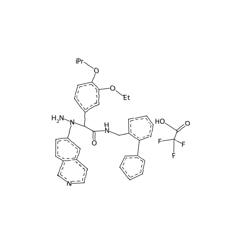 CCOc1cc(C(C(=O)NCc2ccccc2-c2ccccc2)N(N)c2ccc3cnccc3c2)ccc1OC(C)C.O=C(O)C(F)(F)F